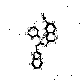 C[C@@H]1CC(n2c(Cc3cn4ccccc4n3)nc3cnc4ccc(C#N)cc4c32)CCO1